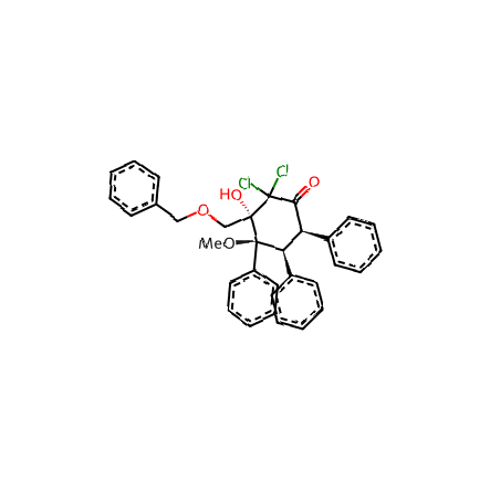 CO[C@]1(c2ccccc2)[C@H](c2ccccc2)[C@H](c2ccccc2)C(=O)C(Cl)(Cl)[C@]1(O)COCc1ccccc1